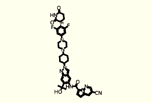 CC(C)(O)c1cc2nn(C3CCC(N4CCN(c5cc(F)c([C@H]6CCC(=O)NC6=O)c(F)c5)CC4)CC3)cc2cc1NC(=O)c1ccc2cc(C#N)cnn12